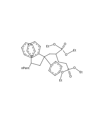 CCCCCC(CC(CC(CCP(=O)(OCC)OCC)P(=O)(OCC)OCC)(c1ccccc1)c1ccccc1)c1ccccc1